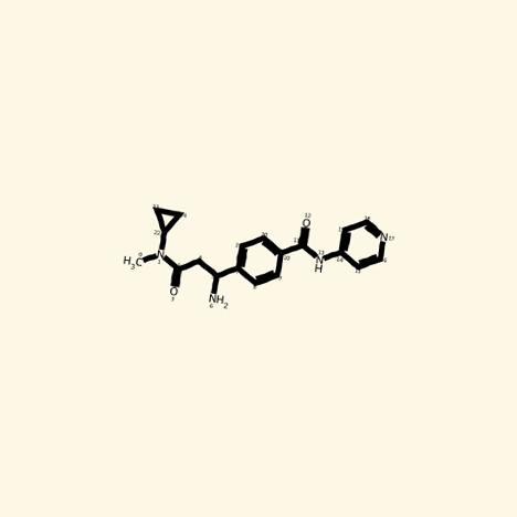 CN(C(=O)CC(N)c1ccc(C(=O)Nc2ccncc2)cc1)C1CC1